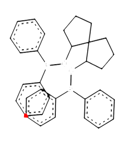 c1ccc(P(OC2CCCC23CCCC3OP(c2ccccc2)c2ccccc2)c2ccccc2)cc1